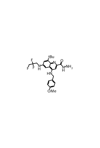 COc1ccc(CNc2cc(C(=O)NN)nc3c(C(C)(C)C)cc(NCC(F)(F)CF)cc23)cc1